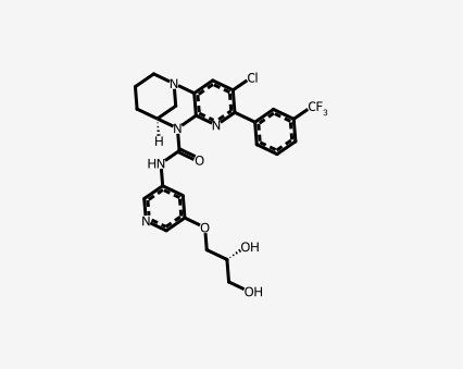 O=C(Nc1cncc(OC[C@H](O)CO)c1)N1c2nc(-c3cccc(C(F)(F)F)c3)c(Cl)cc2N2CCC[C@H]1C2